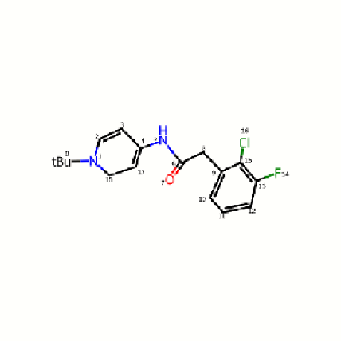 CC(C)(C)N1C=CC(NC(=O)Cc2cccc(F)c2Cl)=CC1